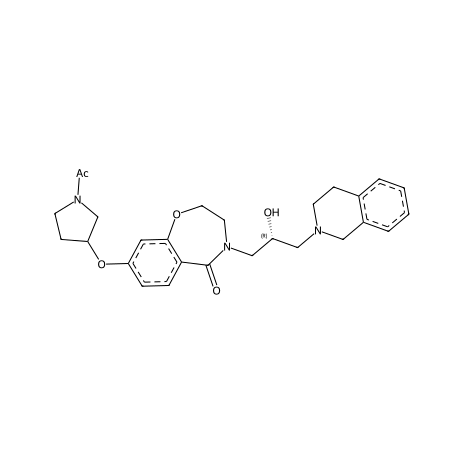 CC(=O)N1CCC(Oc2ccc3c(c2)OCCN(C[C@H](O)CN2CCc4ccccc4C2)C3=O)C1